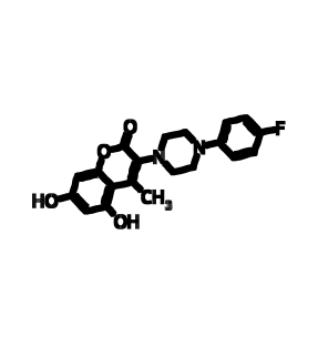 Cc1c(N2CCN(c3ccc(F)cc3)CC2)c(=O)oc2cc(O)cc(O)c12